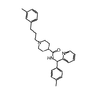 Cc1ccc(C(NC(=O)C2CCN(CCCc3cccc(C)c3)CC2)c2ccccn2)cc1